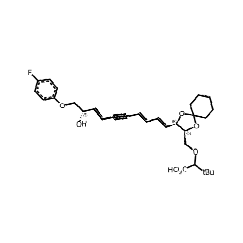 CC(C)(C)C(OC[C@@H]1OC2(CCCCC2)O[C@@H]1C=CC=CC#CC=C[C@H](O)COc1ccc(F)cc1)C(=O)O